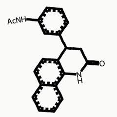 CC(=O)Nc1cccc(C2CC(=O)Nc3c2ccc2ccccc32)c1